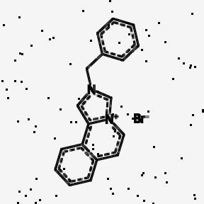 [Br-].c1ccc(Cn2cc3c4ccccc4cc[n+]3c2)cc1